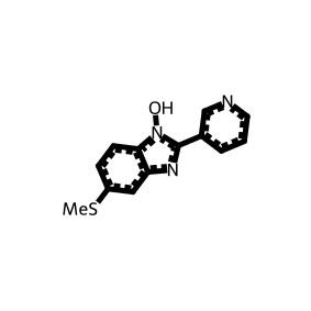 CSc1ccc2c(c1)nc(-c1cccnc1)n2O